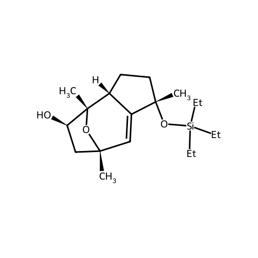 CC[Si](CC)(CC)O[C@@]1(C)CC[C@@H]2C1=C[C@]1(C)C[C@@H](O)[C@@]2(C)O1